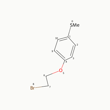 CSc1ccc(OCCBr)cc1